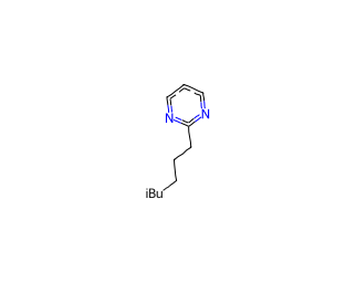 CCC(C)CCCc1ncccn1